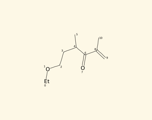 [CH2]COCCC(C)C(=O)C(=C)C